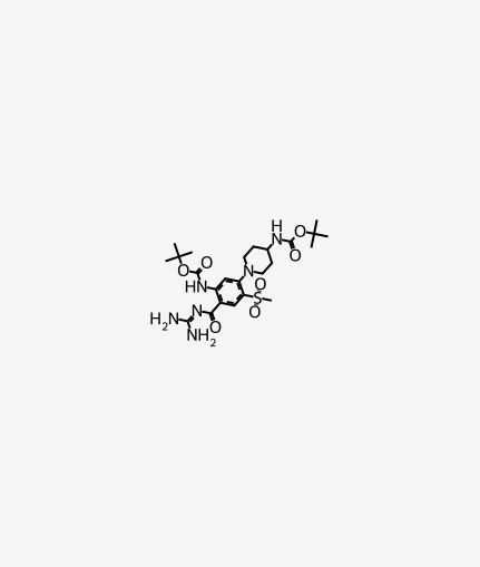 CC(C)(C)OC(=O)Nc1cc(N2CCC(NC(=O)OC(C)(C)C)CC2)c(S(C)(=O)=O)cc1C(=O)N=C(N)N